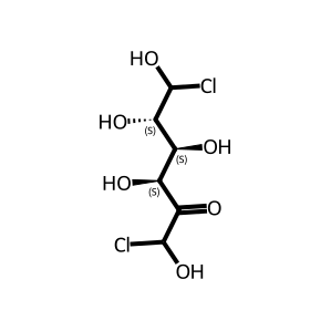 O=C(C(O)Cl)[C@@H](O)[C@H](O)[C@H](O)C(O)Cl